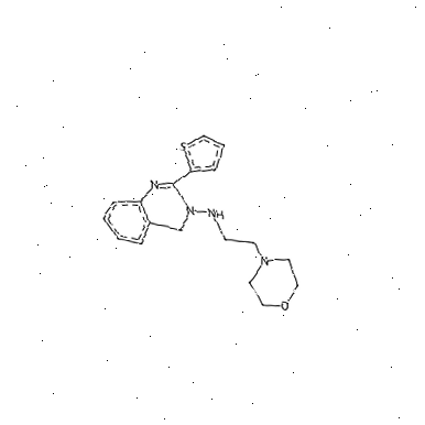 c1csc(C2=Nc3ccccc3CN2NCCN2CCOCC2)c1